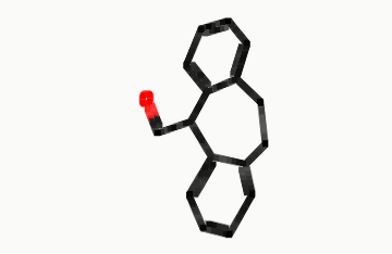 O=CC1c2ccccc2CCc2ccccc21